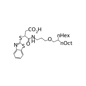 CCCCCCCCC(CCCCCC)COCCCNC(=O)C(CC(=O)O)Sc1nc2ccccc2s1